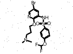 CN(C)CCCOc1ncc(Br)cc1NS(=O)(=O)c1ccc(OC(F)F)cc1